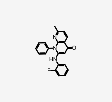 Cc1ccc2c(=O)cc(Nc3ccccc3F)n(-c3ccccc3)c2n1